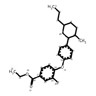 CCCC1CCC(C)C(c2ccc(Oc3ccc(C(=O)OCC)cc3F)cc2)C1